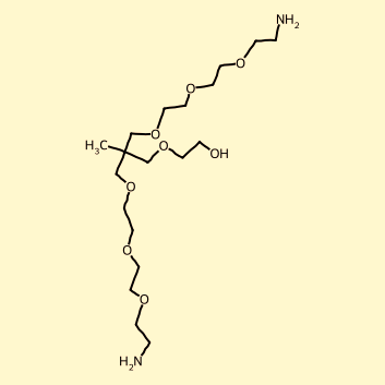 CC(COCCO)(COCCOCCOCCN)COCCOCCOCCN